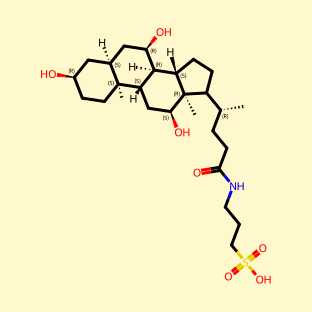 C[C@H](CCC(=O)NCCCS(=O)(=O)O)C1CC[C@H]2[C@@H]3[C@H](O)C[C@@H]4C[C@H](O)CC[C@]4(C)[C@H]3C[C@H](O)[C@]12C